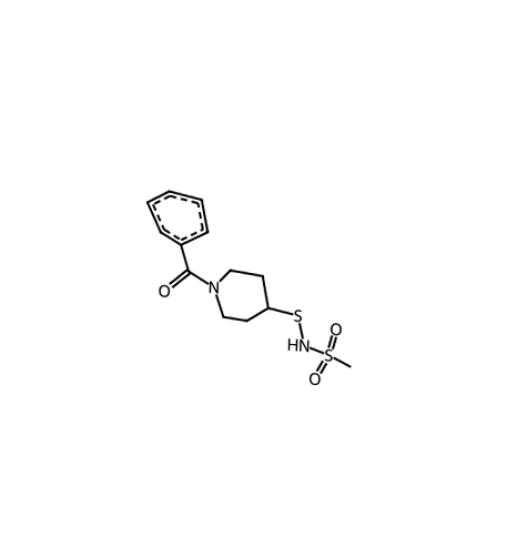 CS(=O)(=O)NSC1CCN(C(=O)c2ccccc2)CC1